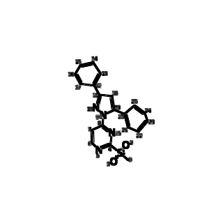 CS(=O)(=O)c1nccc(-n2nc(-c3ccccc3)cc2-c2ccccc2)n1